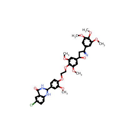 COc1cc(C2NC(=O)c3cc(Cl)ccc3N2)ccc1OCCOc1c(OC)cc(C2CC(c3cc(OC)c(OC)c(OC)c3)=NO2)cc1OC